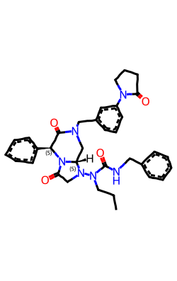 CCCN(C(=O)NCc1ccccc1)N1CC(=O)N2[C@@H](c3ccccc3)C(=O)N(Cc3cccc(N4CCCC4=O)c3)C[C@@H]21